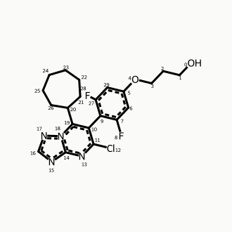 OCCCOc1cc(F)c(-c2c(Cl)nc3ncnn3c2C2CCCCCC2)c(F)c1